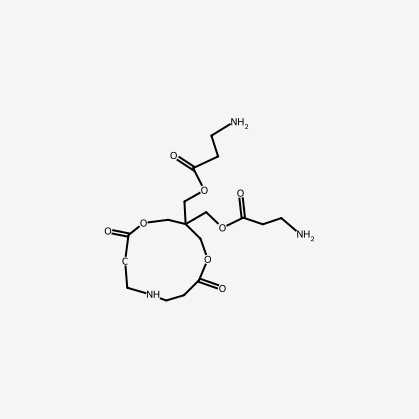 NCCC(=O)OCC1(COC(=O)CCN)COC(=O)CCNCCC(=O)OC1